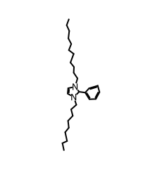 CCCCCCCCCCCN1C=CN(CCCCCCCCC)C1c1ccccc1